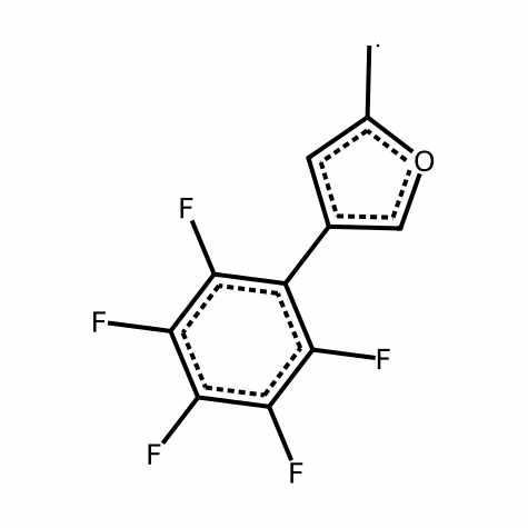 [CH2]c1cc(-c2c(F)c(F)c(F)c(F)c2F)co1